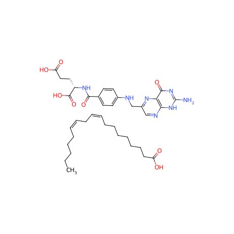 CCCCC/C=C\C/C=C\CCCCCCCC(=O)O.Nc1nc(=O)c2nc(CNc3ccc(C(=O)N[C@@H](CCC(=O)O)C(=O)O)cc3)cnc2[nH]1